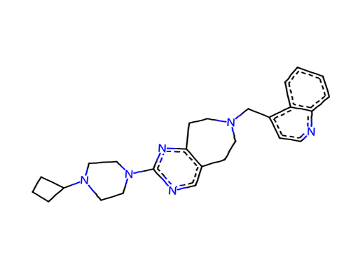 c1ccc2c(CN3CCc4cnc(N5CCN(C6CCC6)CC5)nc4CC3)ccnc2c1